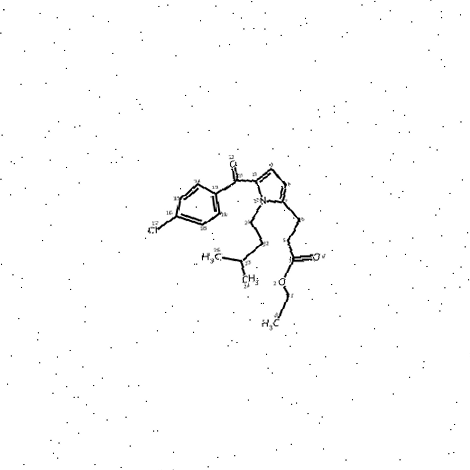 CCOC(=O)CCc1ccc(C(=O)c2ccc(Cl)cc2)n1CCC(C)C